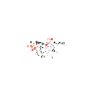 CCCC(CO)C(CC)(CC)C(CCC)OC(CCC)C(CC)(CC)C(CC)OP(=O)(O)O